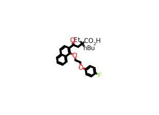 CCCCC(CC)(CC(=O)c1ccc2ccccc2c1OCCOc1ccc(F)cc1)C(=O)O